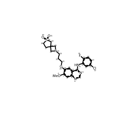 COc1cc2ncnc(Nc3cc(Cl)ccc3F)c2cc1OCCCN1CC2(CCS(=O)(=O)C2)C1